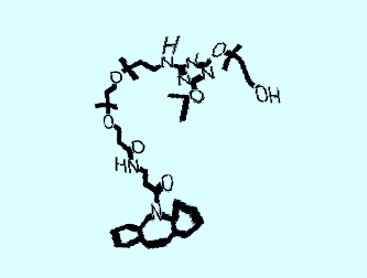 CC(C)Oc1nc(NCCC(C)(C)OCCC(C)(C)OCCC(=O)NCCC(=O)N2Cc3ccccc3C#Cc3ccccc32)nc(OC(C)(C)CCO)n1